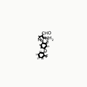 Nc1c(C=O)cnn1-c1ccc(Oc2ccccc2F)cc1F